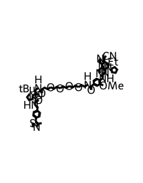 CCC1c2c(C#N)ncn2-c2cnc(Nc3ccc(C(=O)NCCOCCOCCOCCOCCC(=O)N[C@H](C(=O)N4CCC[C@H]4C(=O)NCc4ccc(-c5scnc5C)cc4)C(C)(C)C)cc3OC)nc2N1C1CCCC1